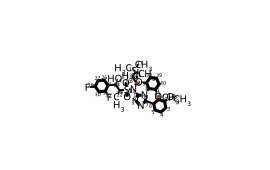 COc1cccc(-c2nnc(N(CC[Si](C)(C)C)S(=O)(=O)[C@@H](C)[C@@H](O)c3ccc(F)cc3F)n2-c2c(OC)cccc2OC)c1